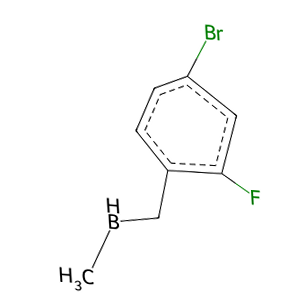 CBCc1ccc(Br)cc1F